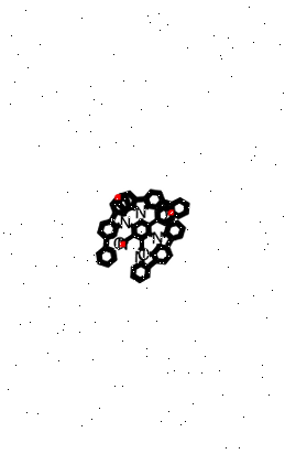 N#Cc1c(C#N)c(-n2c3ccccc3c3ccc4c5ccccc5oc4c32)c(-n2c3ccccc3c3ccc4c5ccccc5oc4c32)c(-c2ccccc2)c1-n1c2ccccc2c2ccc3c4ccccc4oc3c21